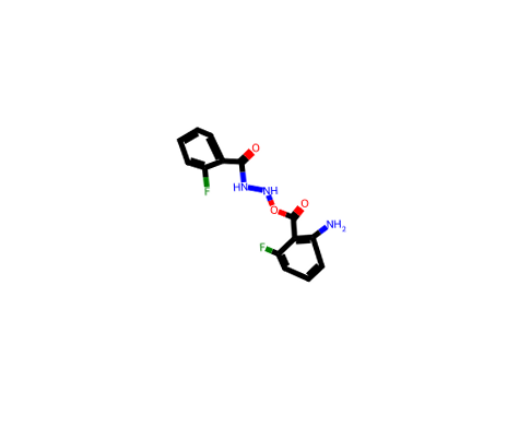 Nc1cccc(F)c1C(=O)ONNC(=O)c1ccccc1F